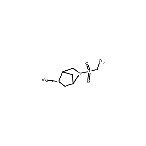 CC(C)(C)N1CC2CC1CN2S(=O)(=O)CC(F)(F)F